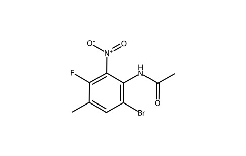 CC(=O)Nc1c(Br)cc(C)c(F)c1[N+](=O)[O-]